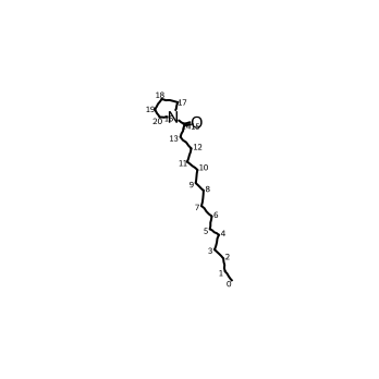 CCCCCCCCCCCCCCC(=O)N1CCCC1